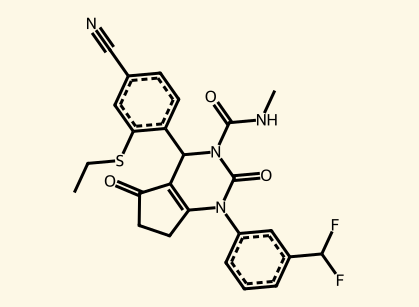 CCSc1cc(C#N)ccc1C1C2=C(CCC2=O)N(c2cccc(C(F)F)c2)C(=O)N1C(=O)NC